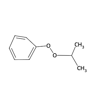 CC(C)OOc1ccccc1